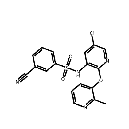 Cc1ncccc1Oc1ncc(Cl)cc1NS(=O)(=O)c1cccc(C#N)c1